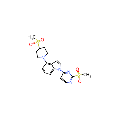 CS(=O)(=O)c1nccc(-n2ccc3c(N4CCC(S(C)(=O)=O)CC4)cccc32)n1